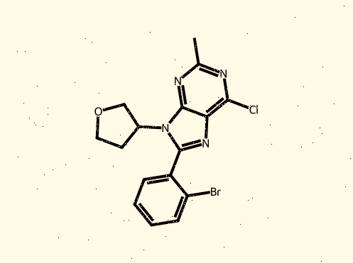 Cc1nc(Cl)c2nc(-c3ccccc3Br)n(C3CCOC3)c2n1